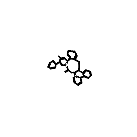 C=C1CC2C(CCc3ccccc3C3C=C(C)C(c4ccccc4)=CN13)c1ccccc1C1C=CC=CN12